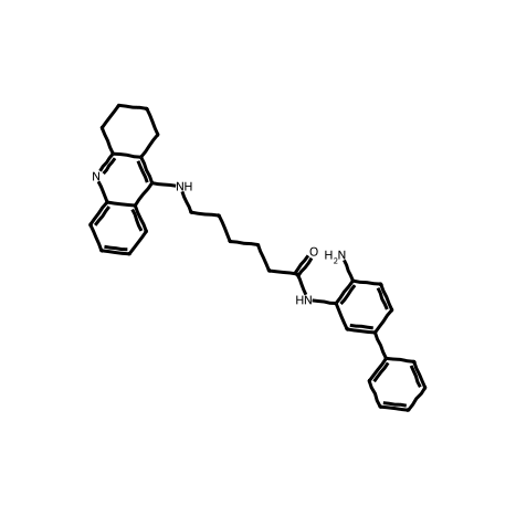 Nc1ccc(-c2ccccc2)cc1NC(=O)CCCCCNc1c2c(nc3ccccc13)CCCC2